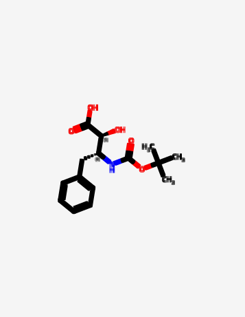 CC(C)(C)OC(=O)N[C@H](Cc1ccccc1)[C@H](O)C(=O)O